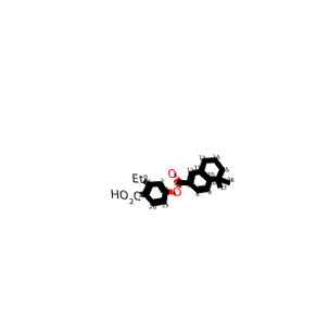 CCc1cc(OC(=O)c2ccc3c(c2)CCCC3(C)C)ccc1C(=O)O